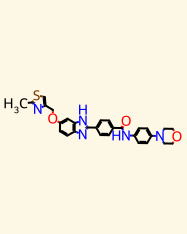 Cc1nc(COc2ccc3nc(-c4ccc(C(=O)Nc5ccc(N6CCOCC6)cc5)cc4)[nH]c3c2)cs1